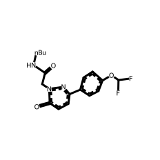 CCCCNC(=O)Cn1nc(-c2ccc(OC(F)F)cc2)ccc1=O